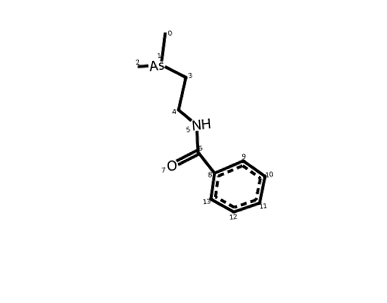 C[As](C)CCNC(=O)c1ccccc1